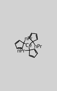 CCC[C]1([Ce]([C]2(CCC)C=CC=C2)[C]2(CCC)C=CC=C2)C=CC=C1